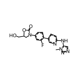 Cn1nncc1Nc1ccc(-c2ccc(N3CC(CO)OC3=O)cc2F)cn1